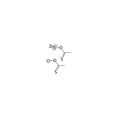 CC(=S)O[O-].CC(=S)O[O-].[Zn+2]